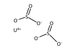 O=S([O-])[O-].O=S([O-])[O-].[U+4]